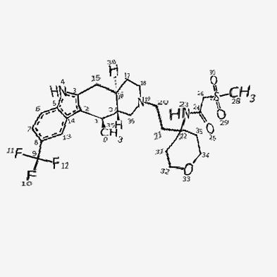 C[C@H]1c2c([nH]c3ccc(C(F)(F)F)cc23)C[C@H]2CCN(CCC3(NC(=O)CS(C)(=O)=O)CCOCC3)C[C@@H]21